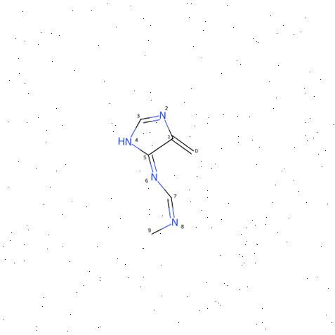 C=C1N=CN/C1=N/C=N\C